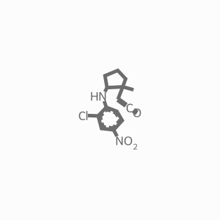 CC1(C=C=O)CCCC1Nc1ccc([N+](=O)[O-])cc1Cl